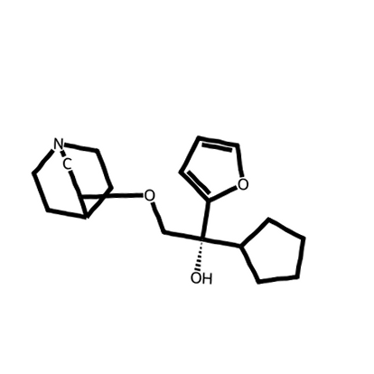 O[C@](COC1CN2CCC1CC2)(c1ccco1)C1CCCC1